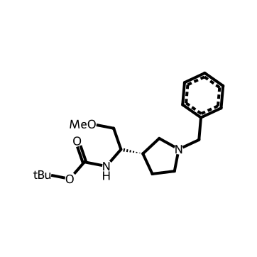 COCC(NC(=O)OC(C)(C)C)[C@H]1CCN(Cc2ccccc2)C1